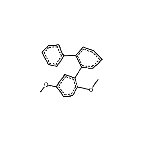 COc1ccc(OC)c(-c2ccccc2-c2ccccc2)c1